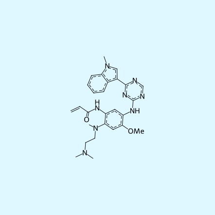 C=CC(=O)Nc1cc(Nc2ncnc(-c3cn(C)c4ccccc34)n2)c(OC)cc1N(C)CCN(C)C